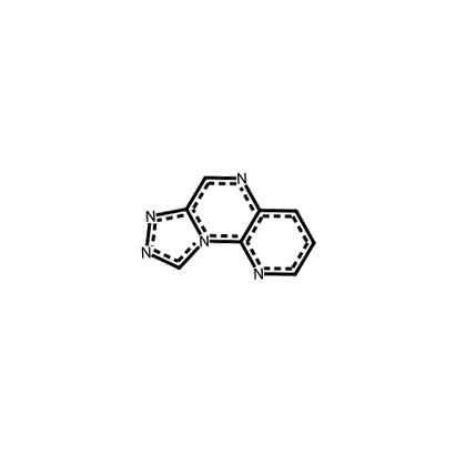 c1cnc2c(c1)ncc1nncn12